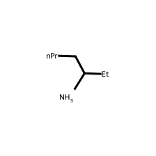 CCCCC(C)CC.N